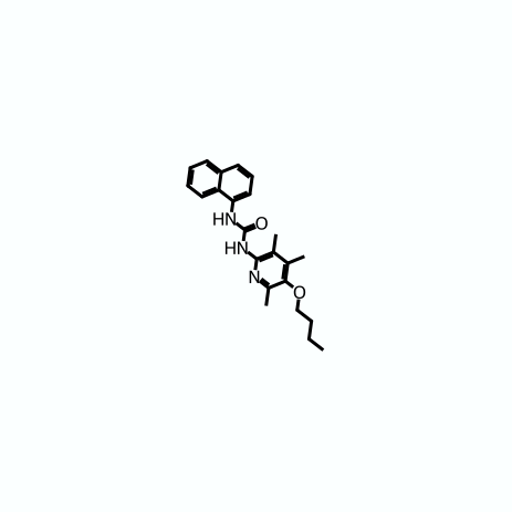 CCCCOc1c(C)nc(NC(=O)Nc2cccc3ccccc23)c(C)c1C